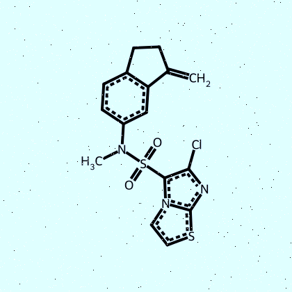 C=C1CCc2ccc(N(C)S(=O)(=O)c3c(Cl)nc4sccn34)cc21